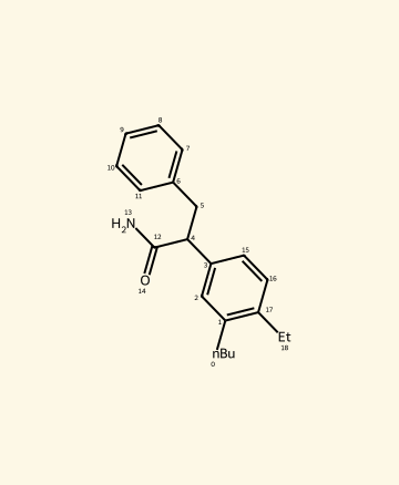 CCCCc1cc(C(Cc2ccccc2)C(N)=O)ccc1CC